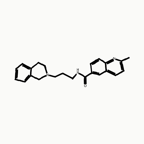 Cc1ccc2cc(C(=O)NCCCN3CCc4ccccc4C3)ccc2n1